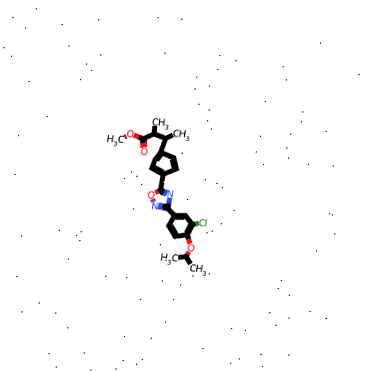 COC(=O)C(C)C(C)c1ccc(-c2nc(-c3ccc(OC(C)C)c(Cl)c3)no2)cc1